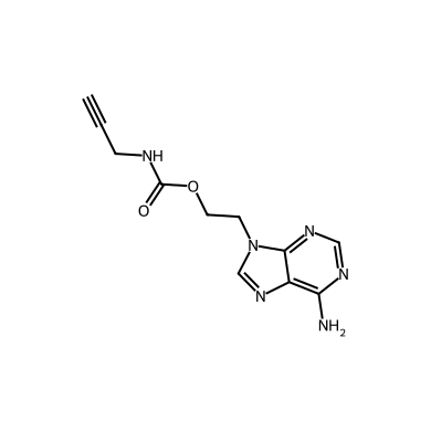 C#CCNC(=O)OCCn1cnc2c(N)ncnc21